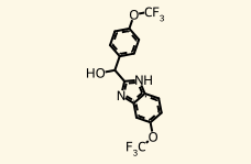 OC(c1ccc(OC(F)(F)F)cc1)c1nc2cc(OC(F)(F)F)ccc2[nH]1